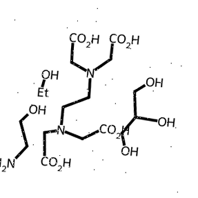 CCO.NCCO.O=C(O)CN(CCN(CC(=O)O)CC(=O)O)CC(=O)O.OCC(O)CO